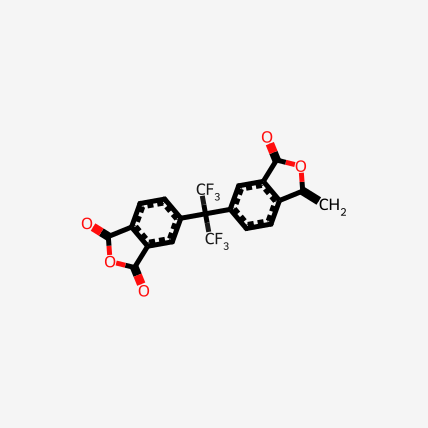 C=C1OC(=O)c2cc(C(c3ccc4c(c3)C(=O)OC4=O)(C(F)(F)F)C(F)(F)F)ccc21